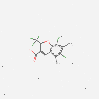 Cc1c(Cl)c(C)c2c(c1Cl)OC(C(F)(F)F)C(C(=O)O)=C2